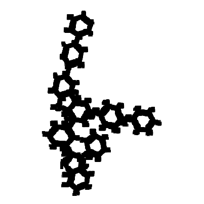 c1ccc(-c2ccc(-c3ccc4sc5c(-c6cccc(-c7nc8ccccc8n7-c7ccccc7)c6)cc(-c6ccc(-c7ccccc7)cc6)cc5c4c3)cc2)cc1